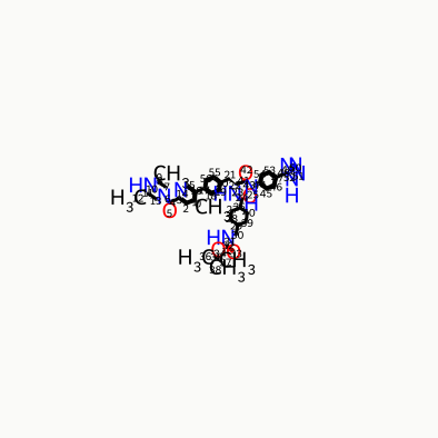 Cc1cc(C(=O)N2CC(C)NC(C)C2)ncc1-c1ccc(C[C@H](NC(=O)C2CCC(CNC(=O)OC(C)(C)C)CC2)C(=O)Nc2ccc(-c3nnn[nH]3)cc2)cc1